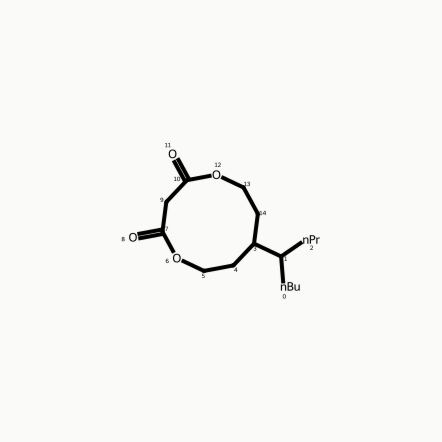 CCCCC(CCC)C1CCOC(=O)CC(=O)OCC1